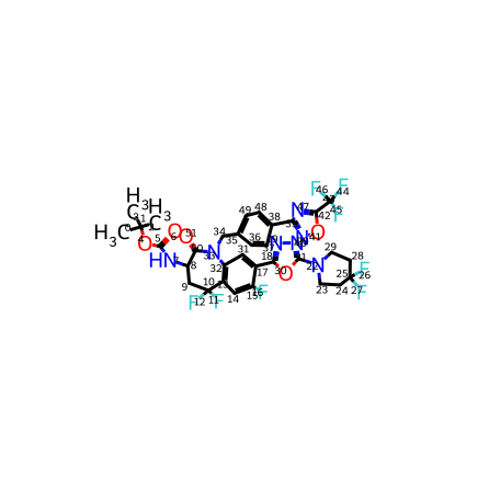 CC(C)(C)OC(=O)NC1CC(F)(F)c2cc(F)c(-c3nnc(N4CCC(F)(F)CC4)o3)cc2N(Cc2ccc(-c3noc(C(F)(F)F)n3)cc2)C1=O